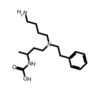 CC(CCN(CCCCN)CCc1ccccc1)NC(=O)O